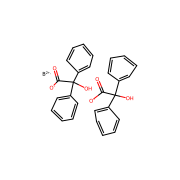 O=C([O-])C(O)(c1ccccc1)c1ccccc1.O=C([O-])C(O)(c1ccccc1)c1ccccc1.[B+2]